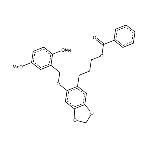 COc1ccc(OC)c(COc2cc3c(cc2CCCOC(=O)c2ccccc2)OCO3)c1